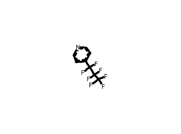 FC(F)(F)C(F)(F)C(F)(F)c1[c]cncc1